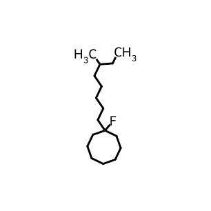 CCC(C)CCCCCC1(F)CCCCCCC1